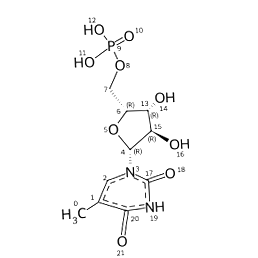 Cc1cn([C@@H]2O[C@H](COP(=O)(O)O)[C@H](O)[C@H]2O)c(=O)[nH]c1=O